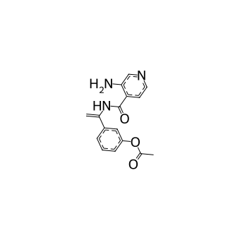 C=C(NC(=O)c1ccncc1N)c1cccc(OC(C)=O)c1